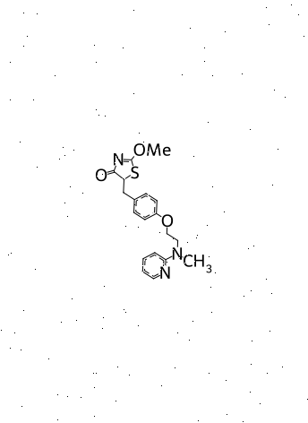 COC1=NC(=O)C(Cc2ccc(OCCN(C)c3ccccn3)cc2)S1